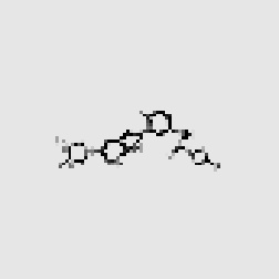 O=C(Nc1ccc(F)c(-n2cc3cc(N4C[C@@H](F)[C@H](F)C4)cnc3n2)c1)N1CC(F)C1